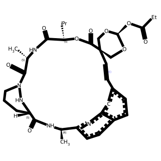 CCC(=O)O[C@H]1OC[C@]2(/C=C/c3ccc4ccc(nc4c3)[C@@H](C)NC(=O)[C@@H]3CCCN(N3)C(=O)[C@H](C)NC(=O)[C@H](C(C)C)OC2=O)CO1